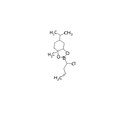 C=CCC(Cl)B1OC2CC(C(C)C)CCC2(C)O1